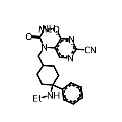 CCNC1(c2ccccc2)CCC(CN(C(N)=O)c2cnc(C#N)nc2OC)CC1